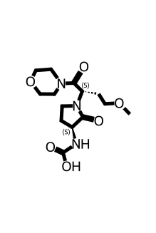 COCC[C@@H](C(=O)N1CCOCC1)N1CC[C@H](NC(=O)O)C1=O